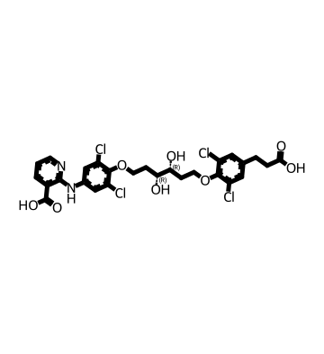 O=C(O)CCc1cc(Cl)c(OCC[C@@H](O)[C@H](O)CCOc2c(Cl)cc(Nc3ncccc3C(=O)O)cc2Cl)c(Cl)c1